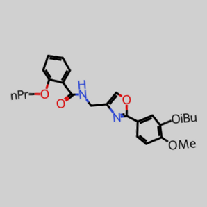 CCCOc1ccccc1C(=O)NCc1coc(-c2ccc(OC)c(OCC(C)C)c2)n1